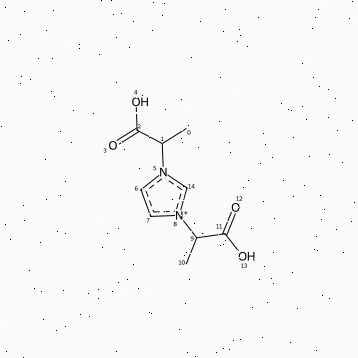 CC(C(=O)O)n1cc[n+](C(C)C(=O)O)c1